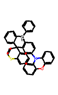 c1ccc([SiH]2c3ccccc3C3(c4ccccc4Sc4ccccc43)c3cc(N4c5ccccc5Oc5ccccc54)ccc32)cc1